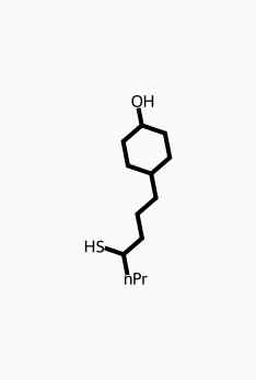 CCCC(S)CCCC1CCC(O)CC1